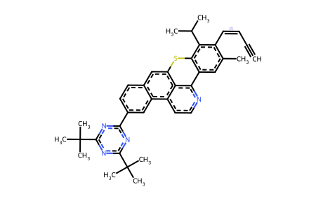 C#C/C=C\c1c(C)cc2c(c1C(C)C)Sc1cc3ccc(-c4nc(C(C)(C)C)nc(C(C)(C)C)n4)cc3c3ccnc-2c13